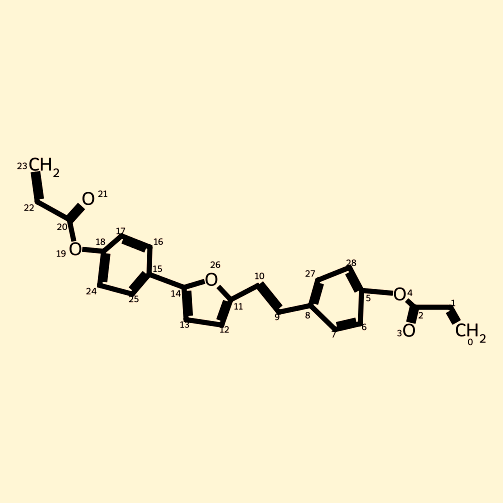 C=CC(=O)Oc1ccc(/C=C/c2ccc(-c3ccc(OC(=O)C=C)cc3)o2)cc1